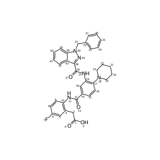 O=C(O)Cc1cc(F)ccc1NC(=O)c1ccc(N2CCCCC2)c(NC(=O)c2nn(Cc3ccccc3)c3ccccc23)c1